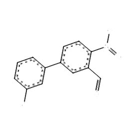 O=Cc1cc(-c2cccc(Cl)c2)ccc1[N+](=O)[O-]